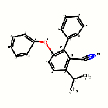 CC(C)c1ccc(Oc2ccccc2)c(-c2ccccc2)c1C#N